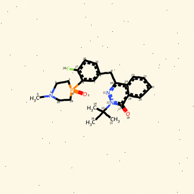 CN1CCP(=O)(c2cc(Cc3nn(C(C)(C)C)c(=O)c4ccccc34)ccc2F)CC1